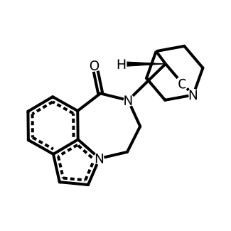 O=C1c2cccc3ccn(c23)CCN1[C@H]1CN2CCC1CC2